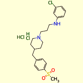 CS(=O)(=O)c1ccc(CC2CCN(CCCNc3cccc(Cl)c3)CC2)cc1.Cl.Cl